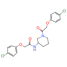 O=C(COc1ccc(Cl)cc1)NC1CCCN(C(=O)COc2ccc(Cl)cc2)C1